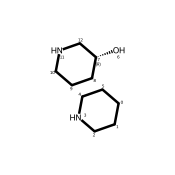 C1CCNCC1.O[C@@H]1CCCNC1